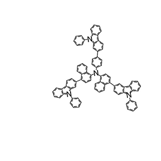 c1ccc(-n2c3ccccc3c3cc(-c4ccc(N(c5ccc(-c6ccc7c8ccccc8n(-c8ccccc8)c7c6)cc5)c5ccc(-c6ccc7c8ccccc8n(-c8ccccc8)c7c6)c6ccccc56)c5ccccc45)ccc32)cc1